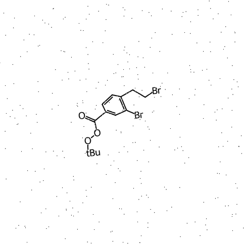 CC(C)(C)OOC(=O)c1ccc(CCBr)c(Br)c1